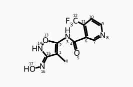 Cc1c(NC(=O)c2cnccc2C(F)(F)F)o[nH]c1=NO